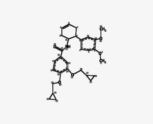 COc1ccc(C2CC=CCC2NC(=O)c2ccc(OCC3CC3)c(OCC3CC3)c2)cc1OC